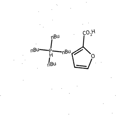 CCCC[PH](CCCC)(CCCC)CCCC.O=C(O)c1ccco1